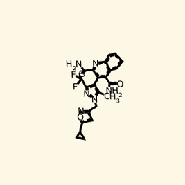 Cc1c(-c2c(C(N)=O)nc3ccccc3c2C(N)=O)c(C(F)(F)F)nn1Cc1cc(C2CC2)on1